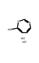 Cl.Cl.OC1=CC=CN=CO1